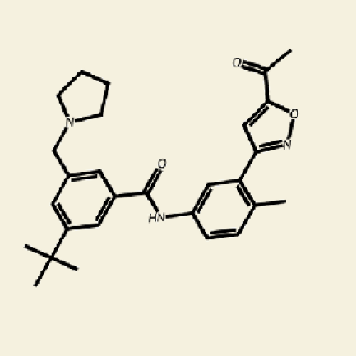 CC(=O)c1cc(-c2cc(NC(=O)c3cc(CN4CCCC4)cc(C(C)(C)C)c3)ccc2C)no1